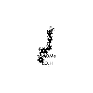 COCCn1c(Cc2cc(F)c(-c3cccc(OCc4ccc(-c5cnn(C(F)F)c5)nc4)n3)cc2F)nc2ccc(C(=O)O)cc21